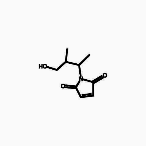 CC(CO)C(C)N1C(=O)C=CC1=O